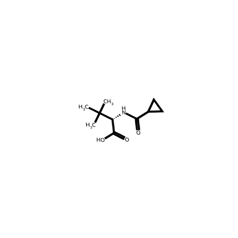 CC(C)(C)[C@H](NC(=O)C1CC1)C(=O)O